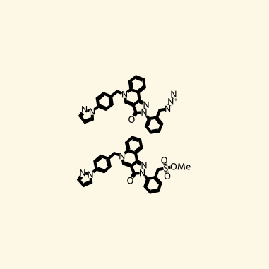 COS(=O)(=O)Cc1ccccc1-n1nc2c3ccccc3n(Cc3ccc(-n4cccn4)cc3)cc-2c1=O.[N-]=[N+]=NCc1ccccc1-n1nc2c3ccccc3n(Cc3ccc(-n4cccn4)cc3)cc-2c1=O